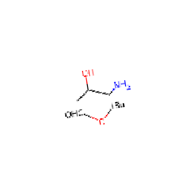 CC(C)(C)OC=O.CC(O)CN